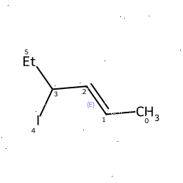 C/C=C/C(I)CC